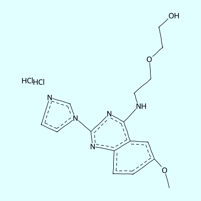 COc1ccc2nc(-n3ccnc3)nc(NCCOCCO)c2c1.Cl.Cl